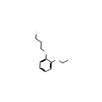 CCOc1ccccc1OCCCN